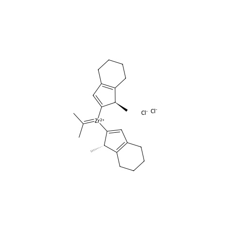 C[C](C)=[Zr+2]([C]1=CC2=C(CCCC2)[C@@H]1C)[C]1=CC2=C(CCCC2)[C@H]1C.[Cl-].[Cl-]